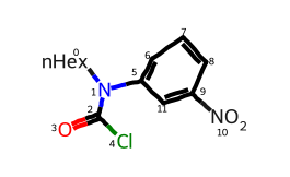 CCCCCCN(C(=O)Cl)c1cccc([N+](=O)[O-])c1